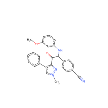 COc1cccc(NC(C(=O)c2nn(C)cc2-c2ccccc2)c2ccc(C#N)cc2)c1